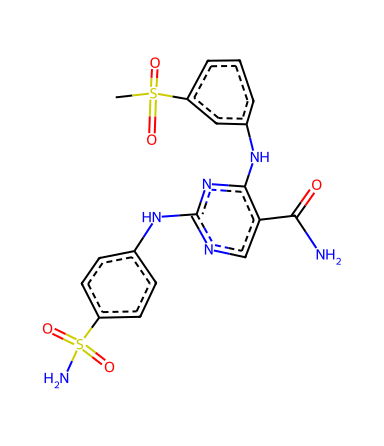 CS(=O)(=O)c1cccc(Nc2nc(Nc3ccc(S(N)(=O)=O)cc3)ncc2C(N)=O)c1